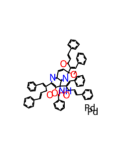 COC1(C(=Cc2ccccc2)C(=O)C=Cc2ccccc2)C=CC2=NC(C(=Cc3ccccc3)C(=O)C=Cc3ccccc3)=C(O)C(NCc3ccccc3)(C(=Cc3ccccc3)C(=O)C=Cc3ccccc3)C2=N1.[Pd].[Pd]